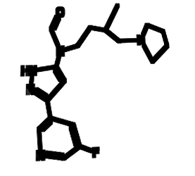 CC(CCN(C=O)c1cc(-c2cncc(F)c2)n[nH]1)CN1CCCC1